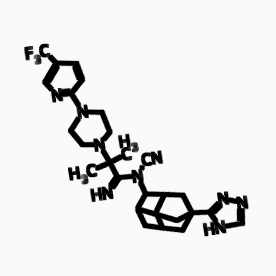 CC(C)(C(=N)N(C#N)C1C2CC3CC1CC(c1nnc[nH]1)(C3)C2)N1CCN(c2ccc(C(F)(F)F)cn2)CC1